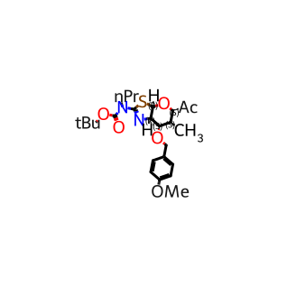 CCCN(C(=O)OC(C)(C)C)C1=N[C@@H]2[C@@H](OCc3ccc(OC)cc3)[C@H](C)[C@@H](C(C)=O)O[C@@H]2S1